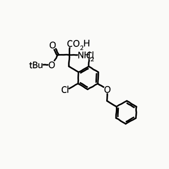 CC(C)(C)OC(=O)C(N)(Cc1c(Cl)cc(OCc2ccccc2)cc1Cl)C(=O)O